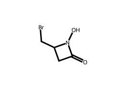 O=C1CC(CBr)N1O